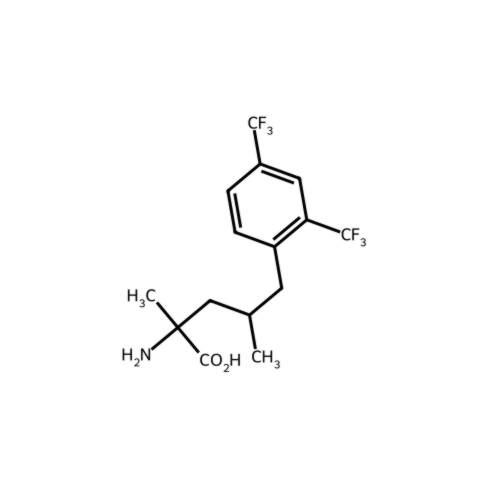 CC(Cc1ccc(C(F)(F)F)cc1C(F)(F)F)CC(C)(N)C(=O)O